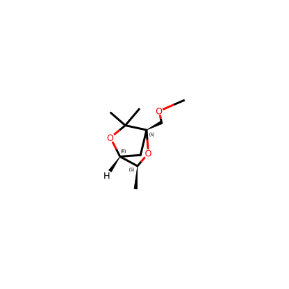 COC[C@@]12C[C@@H](OC1(C)C)[C@H](C)O2